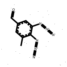 Cc1cc(C=O)cc(N=[N+]=[N-])c1N=[N+]=[N-]